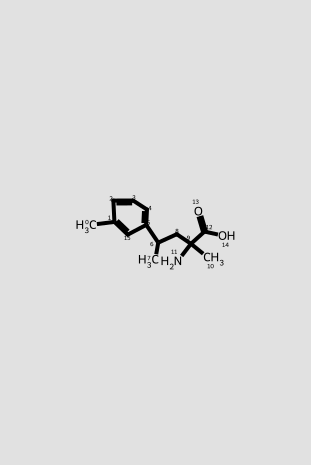 Cc1cccc(C(C)CC(C)(N)C(=O)O)c1